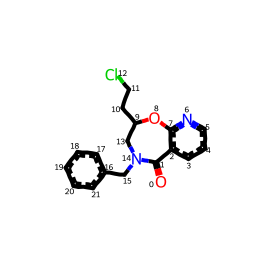 O=C1c2cccnc2OC(CCCl)CN1Cc1ccccc1